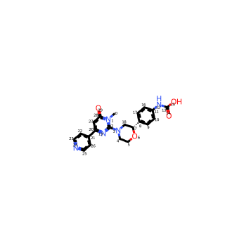 Cn1c(N2CCO[C@@H](c3ccc(NC(=O)O)cc3)C2)nc(-c2ccncc2)cc1=O